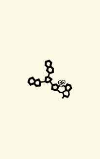 CC1=CCc2cccc3c2C1Cc1ccc(-c2cc(-c4ccc5ccccc5c4)cc(-c4ccc5ccccc5c4)c2)cc1S3(=O)=O